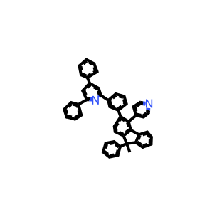 CC1(c2ccccc2)c2ccccc2-c2c1ccc(-c1cccc(-c3cc(-c4ccccc4)cc(-c4ccccc4)n3)c1)c2-c1ccncc1